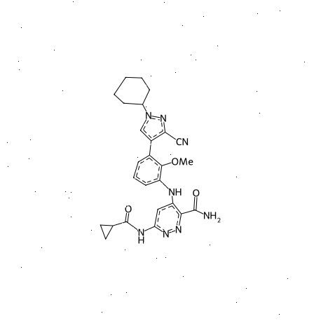 COc1c(Nc2cc(NC(=O)C3CC3)nnc2C(N)=O)cccc1-c1cn(C2CCCCC2)nc1C#N